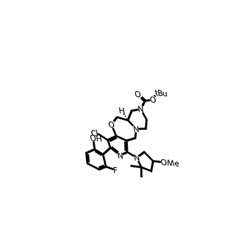 COC1CN(c2nc(-c3c(O)cccc3F)c(Cl)c3c2CN2CCN(C(=O)OC(C)(C)C)C[C@@H]2CO3)C(C)(C)C1